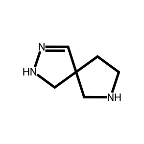 C1=NNCC12CCNC2